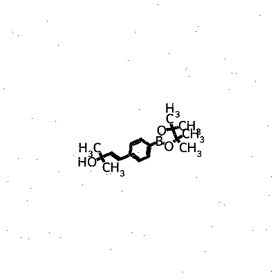 CC(C)(O)/C=C/c1ccc(B2OC(C)(C)C(C)(C)O2)cc1